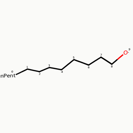 CCCCCCCCCCCCC[O]